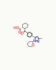 Cc1cc(-c2ccc(C(=O)[C@@H]3CCCC[C@H]3C(=O)O)cc2)n(C2CCCCO2)n1